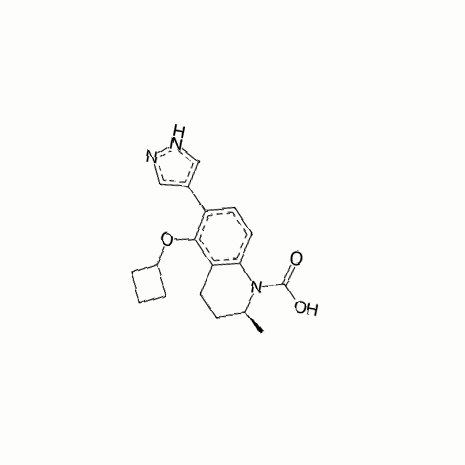 C[C@H]1CCc2c(ccc(-c3cn[nH]c3)c2OC2CCC2)N1C(=O)O